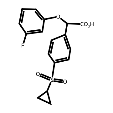 O=C(O)C(Oc1cccc(F)c1)c1ccc(S(=O)(=O)C2CC2)cc1